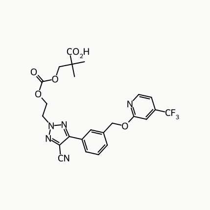 CC(C)(COC(=O)OCCn1nc(C#N)c(-c2cccc(COc3cc(C(F)(F)F)ccn3)c2)n1)C(=O)O